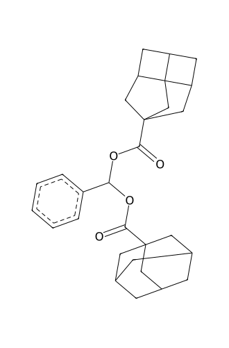 O=C(OC(OC(=O)C12CC3CC4CC(C1)C43C2)c1ccccc1)C12CC3CC(CC(C3)C1)C2